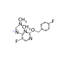 CN(C)/C=N\c1nc(OCc2ccc(F)cc2)ncc1F